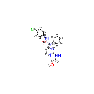 COC[C@H](C)Nc1nccc(N(C(=O)Nc2ccc(Cl)cc2)c2ccccc2)n1